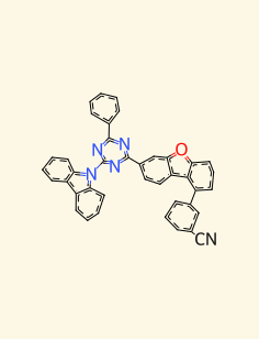 N#Cc1cccc(-c2cccc3oc4cc(-c5nc(-c6ccccc6)nc(-n6c7ccccc7c7ccccc76)n5)ccc4c23)c1